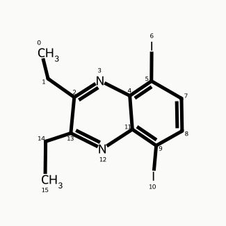 CCc1nc2c(I)ccc(I)c2nc1CC